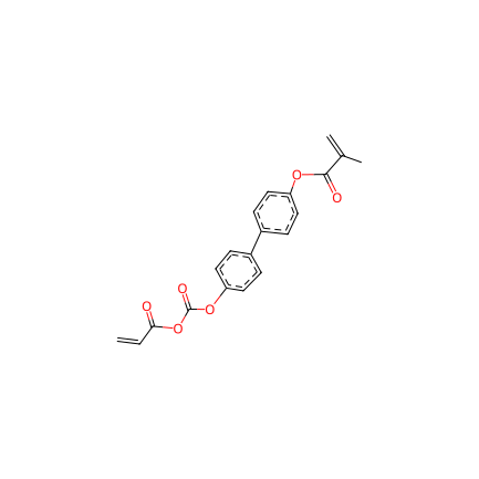 C=CC(=O)OC(=O)Oc1ccc(-c2ccc(OC(=O)C(=C)C)cc2)cc1